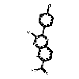 Cc1nc2cc(C(=O)O)ccc2nc1-c1ccc(Cl)cc1